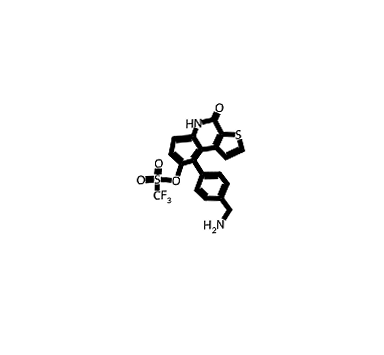 NCc1ccc(-c2c(OS(=O)(=O)C(F)(F)F)ccc3[nH]c(=O)c4sccc4c23)cc1